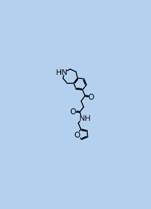 O=C(CCC(=O)c1ccc2c(c1)CCNCC2)NCc1ccco1